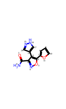 NC(=O)c1noc(-c2ccco2)c1-c1cn[nH]c1